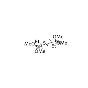 CCC(C)(SSC(C)(CC)[SiH](OC)OC)[SiH](OC)OC